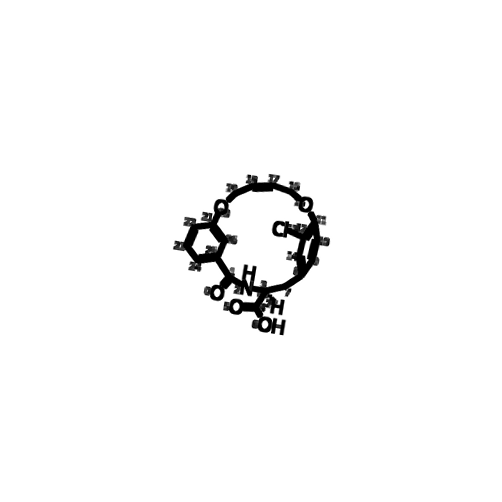 O=C1N[C@H](C(=O)O)Cc2ccc(c(Cl)c2)OCC=CCOc2cccc1c2